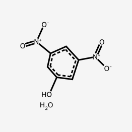 O.O=[N+]([O-])c1cc(O)cc([N+](=O)[O-])c1